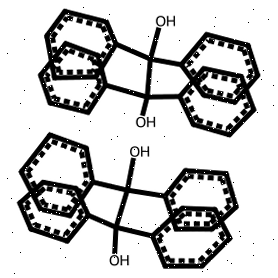 OC(c1ccccc1)(c1ccccc1)C(O)(c1ccccc1)c1ccccc1.OC(c1ccccc1)(c1ccccc1)C(O)(c1ccccc1)c1ccccc1